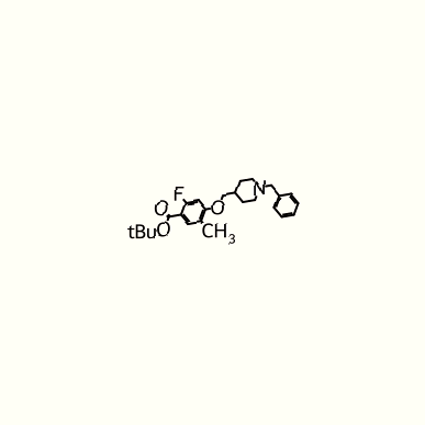 Cc1cc(C(=O)OC(C)(C)C)c(F)cc1OCC1CCN(Cc2ccccc2)CC1